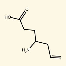 C=CCC(N)CCC(=O)O